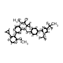 COc1ncnc(C2CC2)c1-c1ncc2c(n1)N(Cc1ccc(-c3nc(C(C)(F)F)cn3C(F)F)cc1)C1(CC1)C(=O)N2C